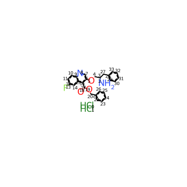 Cl.Cl.N[C@@H](COc1cnc2ccc(F)cc2c1C(=O)OCc1ccccc1)Cc1ccccc1